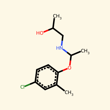 Cc1cc(Cl)ccc1OC(C)NCC(C)O